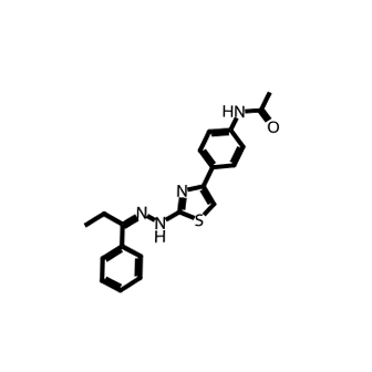 CC/C(=N/Nc1nc(-c2ccc(NC(C)=O)cc2)cs1)c1ccccc1